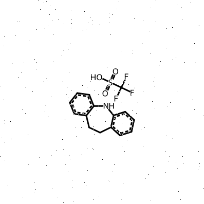 O=S(=O)(O)C(F)(F)F.c1ccc2c(c1)CCc1ccccc1N2